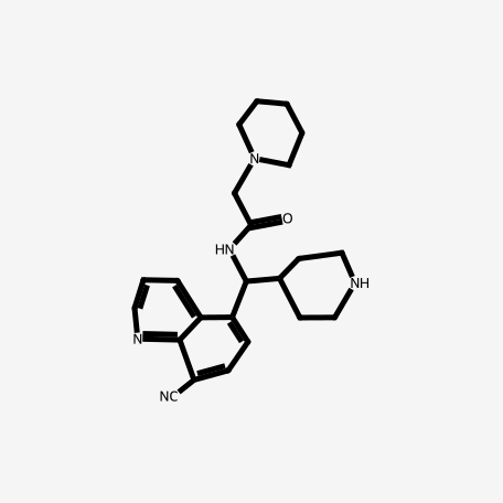 N#Cc1ccc(C(NC(=O)CN2CCCCC2)C2CCNCC2)c2cccnc12